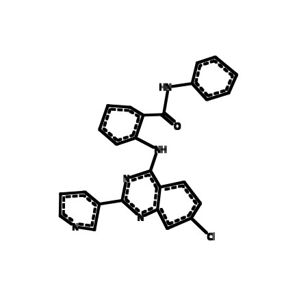 O=C(Nc1ccccc1)c1ccccc1Nc1nc(-c2cccnc2)nc2cc(Cl)ccc12